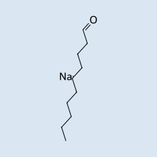 CCCCCCCCCC=O.[Na]